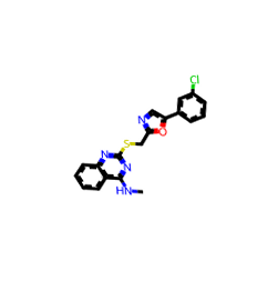 CNc1nc(SCc2ncc(-c3cccc(Cl)c3)o2)nc2ccccc12